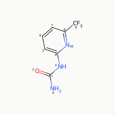 NC(=O)Nc1cccc(C(F)(F)F)n1